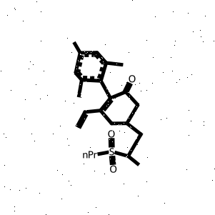 C=CC1=C(c2c(C)cc(C)cc2C)C(=O)CC(CC(C)S(=O)(=O)CCC)C1